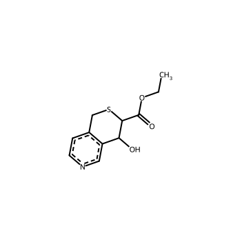 CCOC(=O)C1SCc2ccncc2C1O